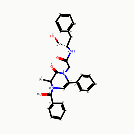 CC(C)C1C(=O)N(CC(=O)N[C@H](CO)Cc2ccccc2)C(c2ccccc2)=CN1C(=O)c1ccccc1